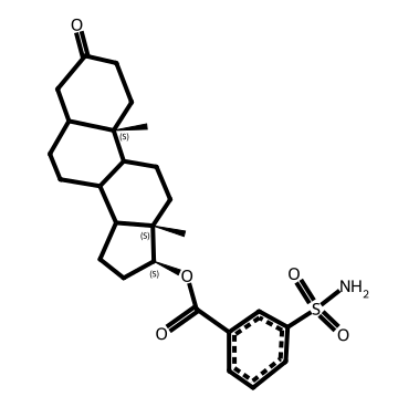 C[C@]12CCC(=O)CC1CCC1C2CC[C@@]2(C)C1CC[C@@H]2OC(=O)c1cccc(S(N)(=O)=O)c1